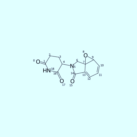 O=C1CCC(N2CC34OC3C=CC=C4C2=O)C(=O)N1